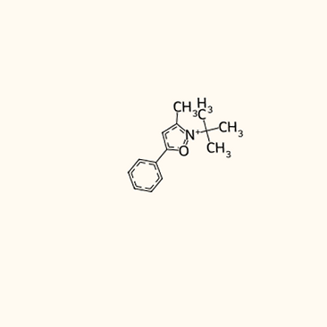 Cc1cc(-c2ccccc2)o[n+]1C(C)(C)C